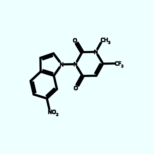 Cn1c(C(F)(F)F)cc(=O)n(-n2ccc3ccc([N+](=O)[O-])cc32)c1=O